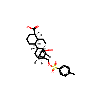 Cc1ccc(S(=O)(=O)OC[C@H]2[C@H]3CC[C@@]4(CC[C@H]5[C@@](C)(CCC[C@@]5(C)C(=O)O)[C@@H]4C3)[C@@H]2O)cc1